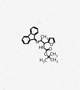 CC(N=C1c2ccccc2-c2ccccc21)C(NC(=O)OC(C)(C)C)c1ccco1